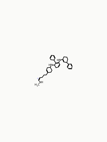 CN/C=C\CCCC1=CCC(NC2CC=CC(NC3=CC(c4ccccc4)CCC3)=C2C2C=CC=CC2)CC1